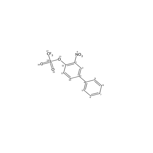 O=[N+]([O-])c1cc(-c2ccccc2)ccc1OS(=O)(=O)C(F)(F)F